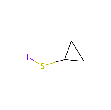 ISC1CC1